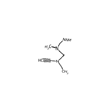 C#CN(C)CN(C)NC